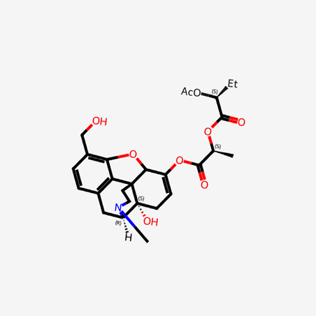 CC[C@H](OC(C)=O)C(=O)O[C@@H](C)C(=O)OC1=CC[C@@]2(O)[C@H]3Cc4ccc(CO)c5c4C2(CCN3C)C1O5